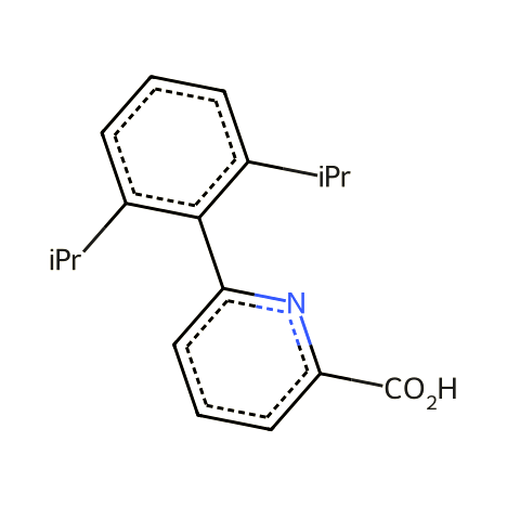 CC(C)c1cccc(C(C)C)c1-c1cccc(C(=O)O)n1